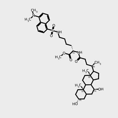 COC(=O)[C@H](CCCCNS(=O)(=O)c1cccc2c(N(C)C)cccc12)NC(=O)CC[C@@H](C)C1CCC2C3C(CC[C@@]21C)[C@@]1(C)CC[C@@H](O)CC1C[C@@H]3O